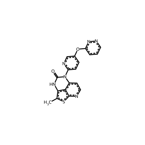 Cc1sc2nccc3c2c1NC(=O)N3c1ccc(Oc2cccnn2)cn1